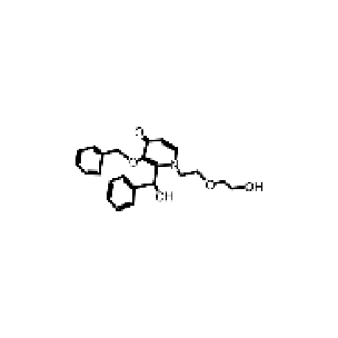 O=c1ccn(CCOCCO)c(C(O)c2ccccc2)c1OCc1ccccc1